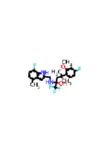 COc1cc(F)ccc1C(C)(C)CC(O)(NCc1cc2c(C)ccc(F)c2[nH]1)C(F)(F)F